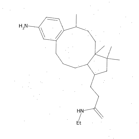 C=C(CCC1CC(C)(C)C2(C)CCC(C)c3ccc(N)cc3CCCC12)NCC